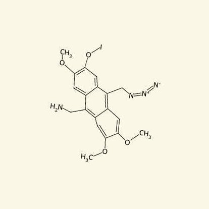 COc1cc2c(CN)c3cc(OC)c(OI)cc3c(CN=[N+]=[N-])c2cc1OC